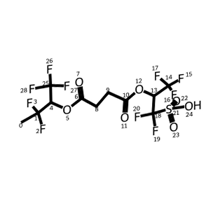 CC(F)(F)C(OC(=O)CCC(=O)OC(C(F)(F)F)C(F)(F)S(=O)(=O)O)C(F)(F)F